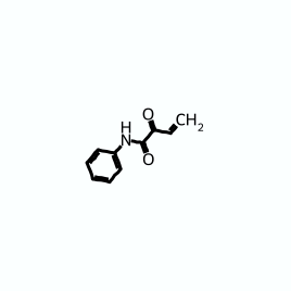 C=CC(=O)C(=O)Nc1ccccc1